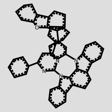 c1ccc(-c2cc(-c3ccccc3)nc(-n3c4ccccc4c4ccc5c6ccccc6n(-c6cccc(-c7cccc8c7oc7ccccc78)c6)c5c43)n2)cc1